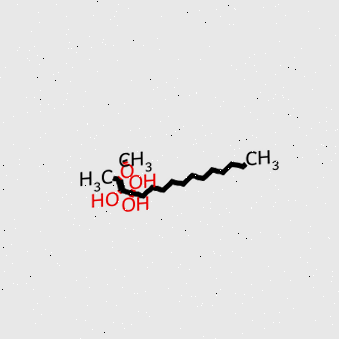 CCCCCCCCCCCCC(O)(O)C(O)=C(C)OC